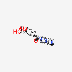 O=C(O)CC1(O)CCC(CCCC(=O)N2CCN(c3ccncc3)CC2)CC1